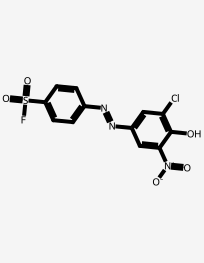 O=[N+]([O-])c1cc(N=Nc2ccc(S(=O)(=O)F)cc2)cc(Cl)c1O